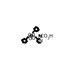 CN(C(=O)O)c1ncccc1COP(=O)(OCc1ccccc1)OCc1ccccc1